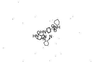 N#CC1CCCCC1n1nc(Nc2ccc(S(=O)(=O)NC3CCCCC3)cc2)c2c(=O)[nH]ccc21